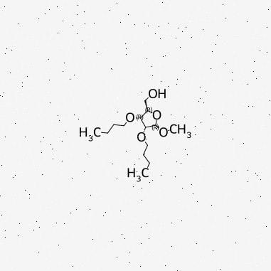 CCCCOC1[C@H](OC)O[C@H](CO)[C@H]1OCCCC